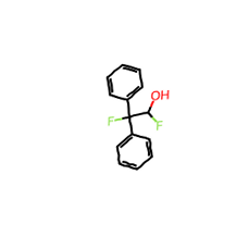 OC(F)C(F)(c1ccccc1)c1ccccc1